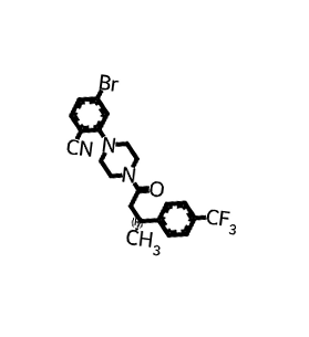 C[C@H](CC(=O)N1CCN(c2cc(Br)ccc2C#N)CC1)c1ccc(C(F)(F)F)cc1